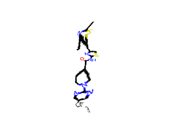 Cc1nc(C)c(-c2csc(NC(=O)C3CCN(c4ncc(C(F)(F)F)cn4)CC3)n2)s1